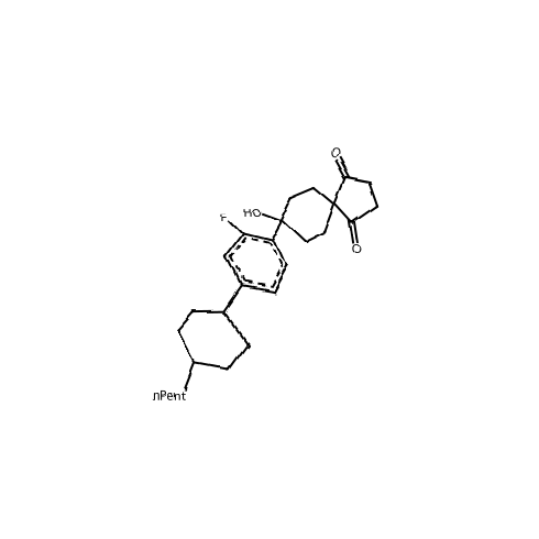 CCCCCC1CCC(c2ccc(C3(O)CCC4(CC3)C(=O)CCC4=O)c(F)c2)CC1